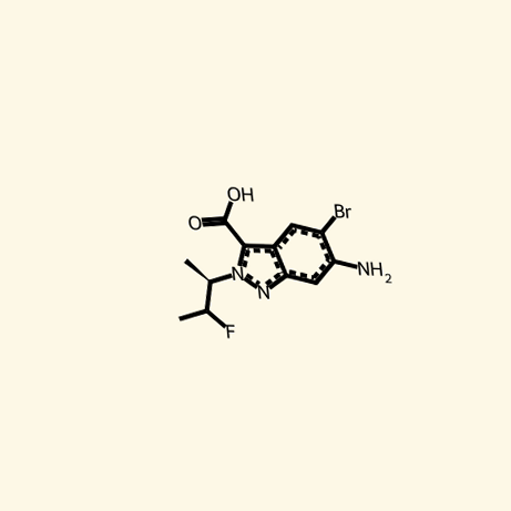 CC(F)[C@@H](C)n1nc2cc(N)c(Br)cc2c1C(=O)O